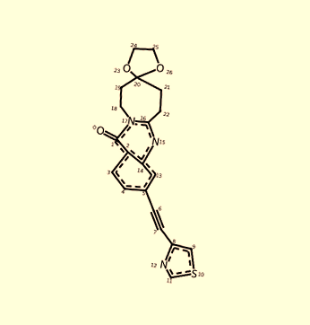 O=c1c2ccc(C#Cc3cscn3)cc2nc2n1CCC1(CC2)OCCO1